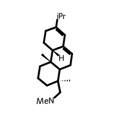 CNC[C@@]1(C)CCC[C@@]2(C)C1CC=C1C=C(C(C)C)CC[C@H]12